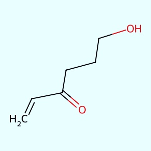 C=CC(=O)CCCO